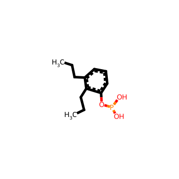 CCCc1cccc(OP(O)O)c1CCC